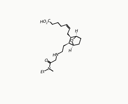 CCN(C)C(=O)CNCC[C@H]1[C@@H](C/C=C\CCCC(=O)O)[C@H]2CC[C@@H]1O2